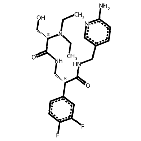 CCN(CC)[C@@H](CO)C(=O)NC[C@H](C(=O)NCc1ccc(N)nc1)c1ccc(F)c(F)c1